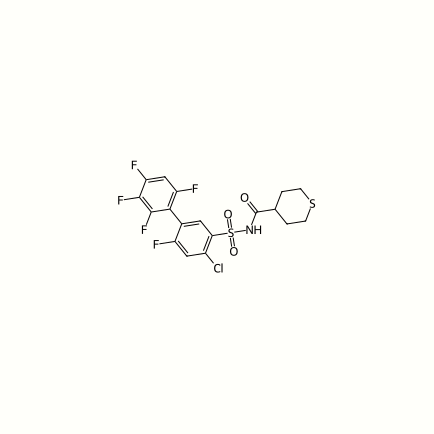 O=C(NS(=O)(=O)c1cc(-c2c(F)cc(F)c(F)c2F)c(F)cc1Cl)C1CCSCC1